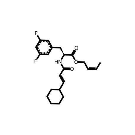 C/C=C\COC(=O)[C@H](Cc1cc(F)cc(F)c1)NC(=O)/C=C/C1CCCCC1